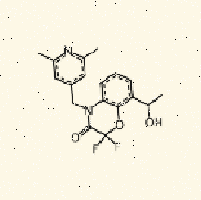 Cc1cc(CN2C(=O)C(F)(F)Oc3c(C(C)O)cccc32)cc(C)n1